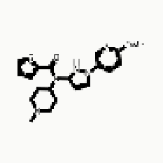 COc1ccc(N2C=CC(N(C(=O)c3cccs3)C3CCN(C)CC3)N2)cn1